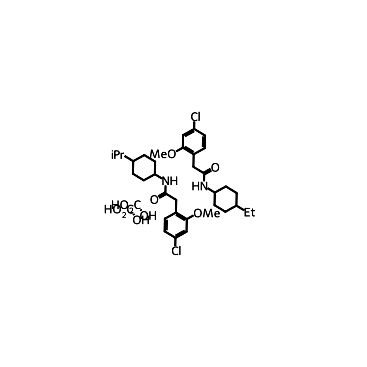 CCC1CCC(NC(=O)Cc2ccc(Cl)cc2OC)CC1.COc1cc(Cl)ccc1CC(=O)NC1CCC(C(C)C)CC1.O=C(O)O.O=C(O)O